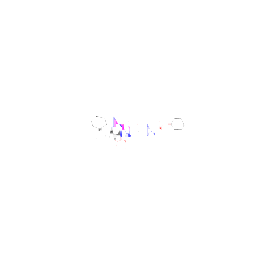 COc1ccccc1-c1cc(=O)n(CC2(O)CCN(C(=O)C[C@@H](C)c3ccccc3)CC2)cn1